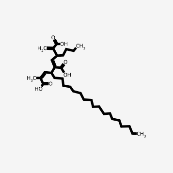 C=C(C(=O)O)C(C=C(C(=O)O)C(C=C(C)C(=O)O)CCCCCCCCCCCCCCCCCC)CCCC